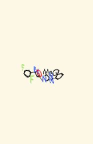 COc1ccccc1-c1nc2ccn(Cc3cc(-c4cc(F)ccc4F)no3)cc-2n1